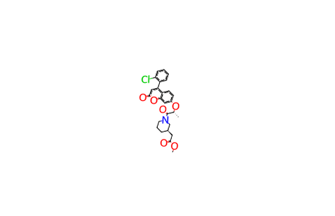 COC(=O)C[C@H]1CCCN(C(=O)[C@@H](C)Oc2ccc3c(-c4ccccc4Cl)cc(=O)oc3c2)C1